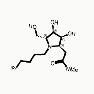 CNC(=O)C[C@@H]1[C@H](O)[C@H](O)[C@@H](CO)N1CCCCC(C)C